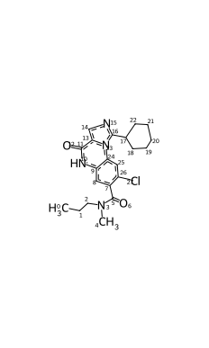 CCCN(C)C(=O)c1cc2[nH]c(=O)c3cnc(C4CCCCC4)n3c2cc1Cl